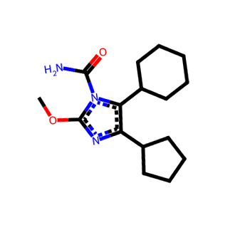 COc1nc(C2CCCC2)c(C2CCCCC2)n1C(N)=O